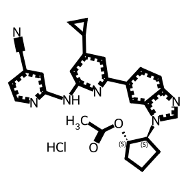 CC(=O)O[C@H]1CCC[C@@H]1n1cnc2ccc(-c3cc(C4CC4)cc(Nc4cc(C#N)ccn4)n3)cc21.Cl